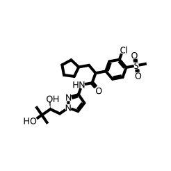 CC(C)(O)[C@H](O)Cn1ccc(NC(=O)C(CC2CCCC2)c2ccc(S(C)(=O)=O)c(Cl)c2)n1